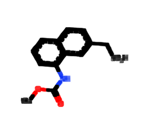 CC(C)(C)OC(=O)Nc1cccc2ccc(CS(=O)(=O)O)cc12